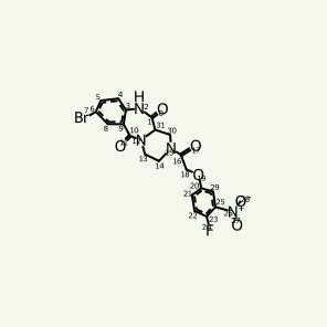 O=C1Nc2ccc(Br)cc2C(=O)N2CCN(C(=O)COc3ccc(F)c([N+](=O)[O-])c3)CC12